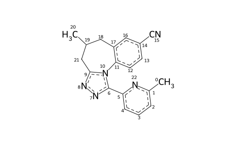 Cc1cccc(-c2nnc3n2-c2ccc(C#N)cc2CC(C)C3)n1